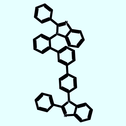 c1ccc(-c2nc3ccccc3n2-c2ccc(-c3cccc(-c4ccccc4-n4c(-c5ccccc5)nc5ccccc54)c3)cc2)cc1